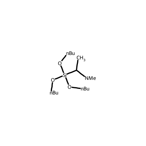 CCCCO[Si](OCCCC)(OCCCC)C(C)NC